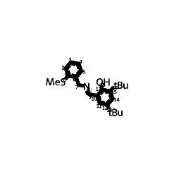 CSc1ccccc1C/N=C/c1cc(C(C)(C)C)cc(C(C)(C)C)c1O